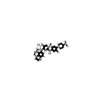 COc1cc(N2CCC(N(C)C)CC2)c(C)cc1Nc1ncc(P)c(Nc2ccc3nccnc3c2N(C)SC)n1